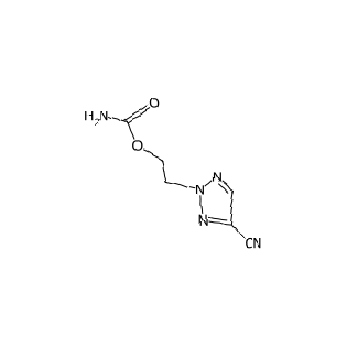 N#Cc1cnn(CCOC(N)=O)n1